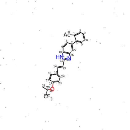 CC(=O)c1ccccc1-c1ccc2[nH]c(/C=C/c3ccc(OC(C)C(F)(F)F)cc3)nc2c1